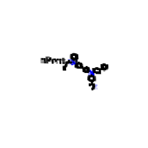 C=CCC(/C=C/N(C1=CCC(c2ccc(N(C3C=CC(C(=C)/C=C\C)=CC3)C3C=CC(c4ccccc4)=CC3)cc2)C=C1)[C@H]1C=CC=CC1)CCCCC